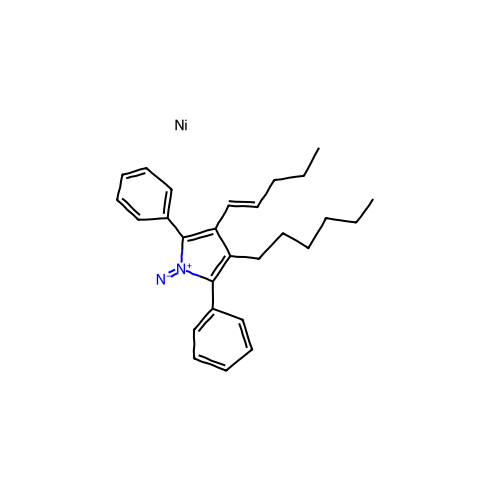 CCCC=CC1=C(c2ccccc2)[N+](=[N-])C(c2ccccc2)=C1CCCCCC.[Ni]